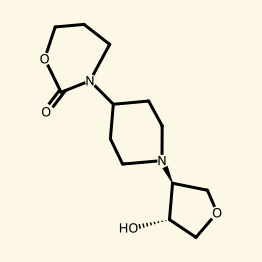 O=C1OCCCN1C1CCN([C@H]2COC[C@@H]2O)CC1